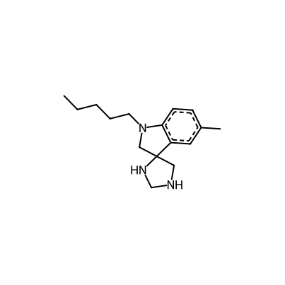 CCCCCN1CC2(CNCN2)c2cc(C)ccc21